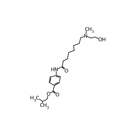 CC(C)COC(=O)c1ccc(NC(=O)CCCCCCCN(C)CCO)cc1